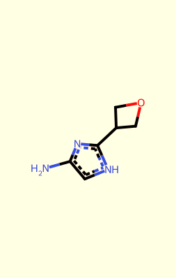 Nc1c[nH]c(C2COC2)n1